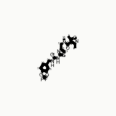 Cc1noc(C)c1C(=O)N(C)Cc1csc(NC(=O)NCc2ccc3c(c2)OC(F)(F)O3)n1